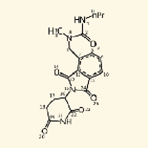 CCCNC(=O)N(C)Cc1cccc2c1C(=O)N(C1CCC(=O)NC1=O)C2=O